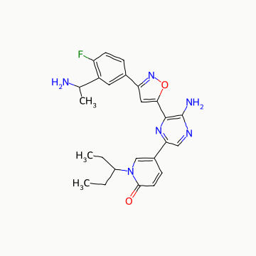 CCC(CC)n1cc(-c2cnc(N)c(-c3cc(-c4ccc(F)c(C(C)N)c4)no3)n2)ccc1=O